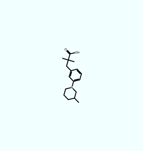 CC1CCCN(c2cccc(CC(C)(C)C(=O)O)c2)C1